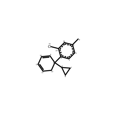 Cc1ccc(C2(C3CC3)C=CC=CC2)c(Cl)c1